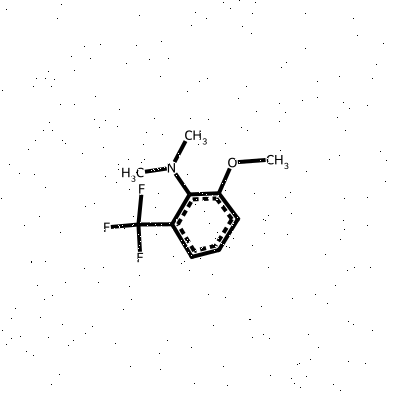 COc1cccc(C(F)(F)F)c1N(C)C